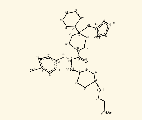 COCCN[C@H]1CC[C@@H](N[C@H](Cc2ccc(Cl)cc2)C(=O)N2CCC(Cn3cncn3)(C3CCCCC3)CC2)CC1